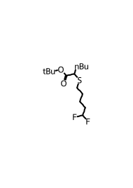 CCCCC(SCCCCC(F)F)C(=O)OC(C)(C)C